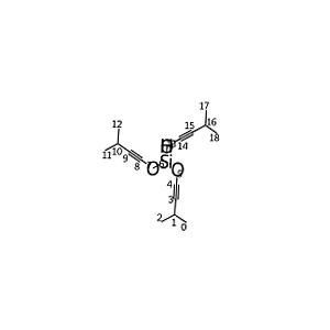 CC(C)C#CO[SiH](OC#CC(C)C)OC#CC(C)C